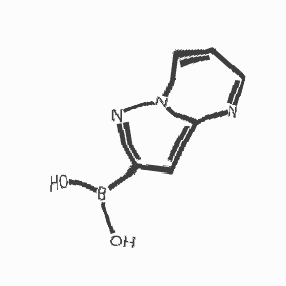 OB(O)c1cc2ncccn2n1